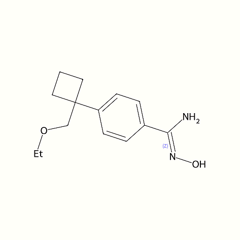 CCOCC1(c2ccc(/C(N)=N/O)cc2)CCC1